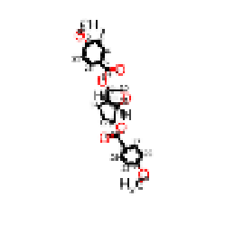 COc1ccc(C(=O)O[C@@H]2CO[C@H]3[C@@H]2CC[C@H]3OC(=O)c2ccc(OC)cc2)cc1